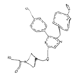 O=C(O)N1CC(Oc2cnc(-c3ccc(Cl)cc3)c(-c3ccc(Cl)cc3)n2)C1